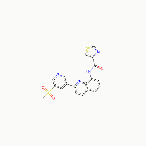 CS(=O)(=O)c1cncc(-c2ccc3cccc(NC(=O)c4cscn4)c3n2)c1